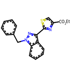 CCOC(=O)c1csc(-c2nn(Cc3ccccc3)c3ccccc23)n1